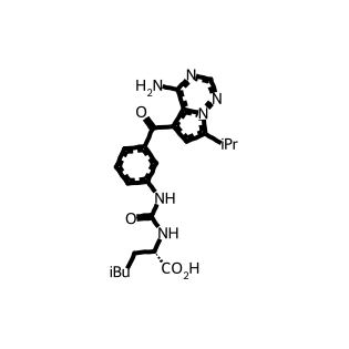 CCC(C)C[C@H](NC(=O)Nc1cccc(C(=O)c2cc(C(C)C)n3ncnc(N)c23)c1)C(=O)O